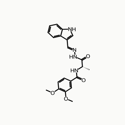 COc1ccc(C(=O)N[C@@H](C)C(=O)N/N=C/c2c[nH]c3ccccc23)cc1OC